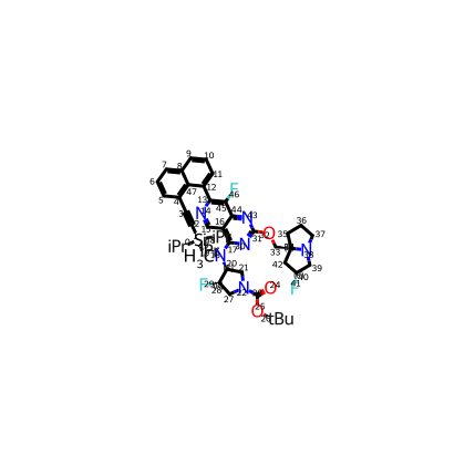 CC(C)[Si](C#Cc1cccc2cccc(-c3ncc4c(N(C)[C@H]5CN(C(=O)OC(C)(C)C)C[C@H]5F)nc(OC[C@@]56CCCN5C[C@H](F)C6)nc4c3F)c12)(C(C)C)C(C)C